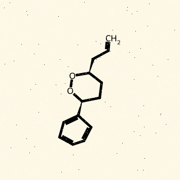 C=CC[C@H]1CC[C@@H](c2ccccc2)OO1